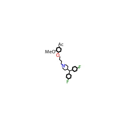 COc1cc(C(C)=O)ccc1OCCCCN1CCC(C(c2ccc(F)cc2)c2ccc(F)cc2)CC1